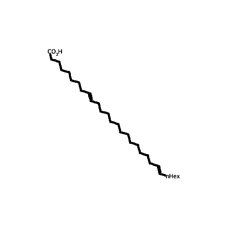 CCCCCCC=CCCCCCCCCCCCCC=CCCCCCCCC(=O)O